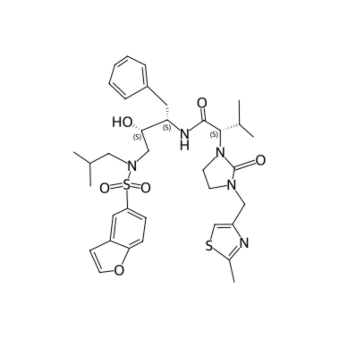 Cc1nc(CN2CCN([C@H](C(=O)N[C@@H](Cc3ccccc3)[C@@H](O)CN(CC(C)C)S(=O)(=O)c3ccc4occc4c3)C(C)C)C2=O)cs1